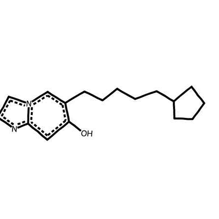 Oc1cc2nccn2cc1CCCCCC1CCCC1